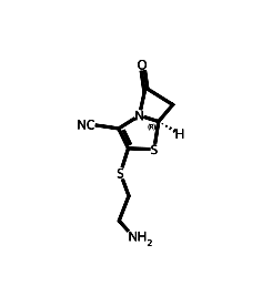 N#CC1=C(SCCN)S[C@@H]2CC(=O)N12